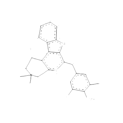 COc1c(F)cc(Cc2nc3c(c4c2[nH]c2ccccc24)[C@@H](O)CC(C)(C)C3)cc1F